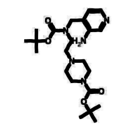 CC(C)(C)OC(=O)N1CCN(CCN(Cc2ccncc2N)C(=O)OC(C)(C)C)CC1